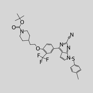 Cc1ccc(Sn2ccc3c(-c4ccc(OCCC5CCN(C(=O)OC(C)(C)C)CC5)c(C(F)(F)F)c4)nc(C#N)nc32)cc1